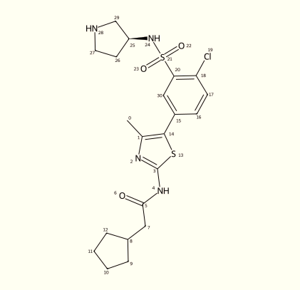 Cc1nc(NC(=O)CC2CCCC2)sc1-c1ccc(Cl)c(S(=O)(=O)N[C@H]2CCNC2)c1